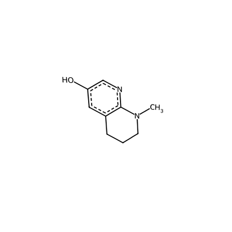 CN1CCCc2cc(O)cnc21